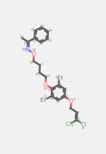 CCc1cc(OCC=C(Cl)Cl)cc(CC)c1OCCCCON=C(C)c1ccccc1